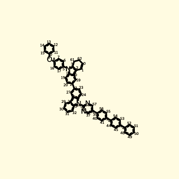 C1=Cc2c(n(-c3ccc(Oc4ccccc4)cc3)c3ccc(-c4ccc5c(c4)c4ccccc4n5-c4ncc(-c5ccc(-c6ccc(-c7ccccc7)cc6)cc5)cn4)cc23)CC1